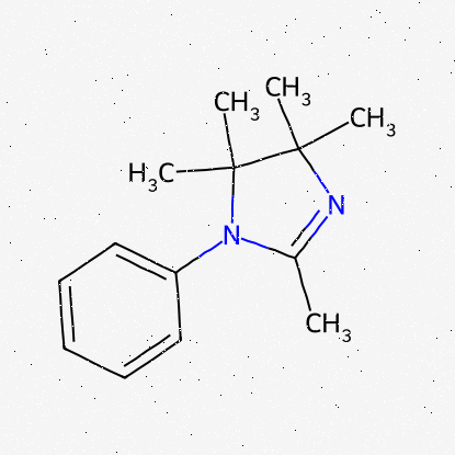 CC1=NC(C)(C)C(C)(C)N1c1ccccc1